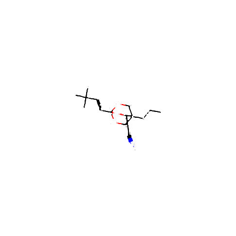 CCCC12COC(C=CC(C)(C)C)(OC1)OC2C#N